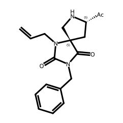 C=CCN1C(=O)N(Cc2ccccc2)C(=O)[C@]12CN[C@H](C(C)=O)C2